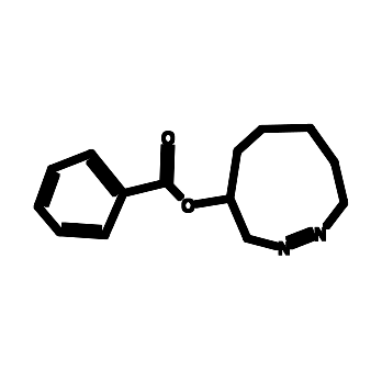 O=C(OC1CCCCCN=NC1)c1ccccc1